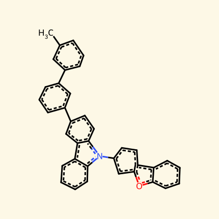 Cc1cccc(-c2cccc(-c3ccc4c(c3)c3ccccc3n4-c3ccc4c(c3)oc3ccccc34)c2)c1